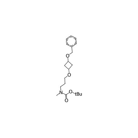 CN(CCCOC1CC(OCc2ccccc2)C1)C(=O)OC(C)(C)C